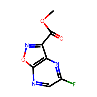 COC(=O)c1noc2ncc(F)nc12